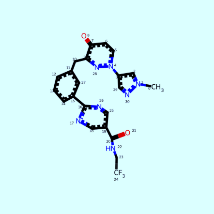 Cn1cc(-n2ccc(=O)c(Cc3cccc(-c4ncc(C(=O)NCC(F)(F)F)cn4)c3)n2)cn1